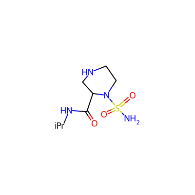 CC(C)NC(=O)C1CNCCN1S(N)(=O)=O